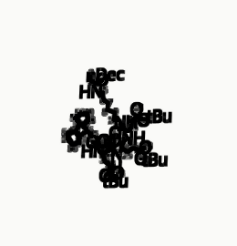 CCCCCCCCCCCC(=O)NCCCCCCNC(=O)C(CCC(=O)OC(C)(C)C)NC(=O)C(CCC(=O)OC(C)(C)C)NC(=O)C(CCC(=O)OC(C)(C)C)NC(=O)OCC1c2ccccc2-c2ccccc21